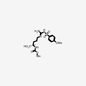 COc1ccc(S(=O)(=O)NC(N)=NCCC[C@H](NC(=O)OC(C)(C)C)C(=O)O)cc1